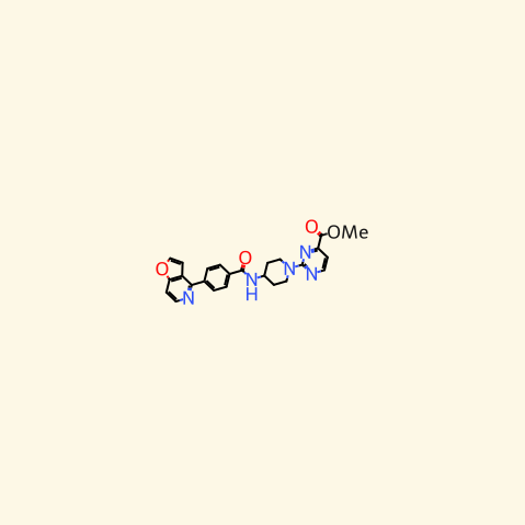 COC(=O)c1ccnc(N2CCC(NC(=O)c3ccc(-c4nccc5occc45)cc3)CC2)n1